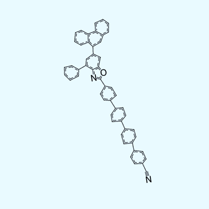 N#Cc1ccc(-c2ccc(-c3ccc(-c4ccc(-c5nc6c(-c7ccccc7)cc(-c7cc8ccccc8c8ccccc78)cc6o5)cc4)cc3)cc2)cc1